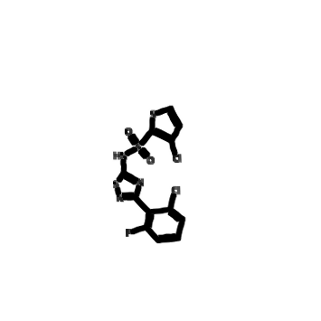 O=S(=O)(Nc1nc(-c2c(F)cccc2Cl)ns1)c1sccc1Cl